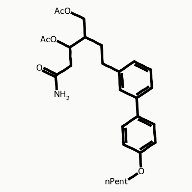 CCCCCOc1ccc(-c2cccc(CCC(COC(C)=O)C(CC(N)=O)OC(C)=O)c2)cc1